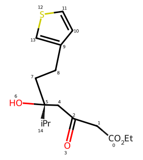 CCOC(=O)CC(=O)C[C@](O)(CCc1ccsc1)C(C)C